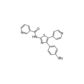 CC(C)(C)c1ccc(-c2nc(NC(=O)c3cccnc3)sc2-c2ccncc2)cc1